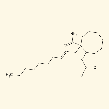 CCCCCCCC=CCC1(C(N)=O)CCCCCCC1SC(=O)O